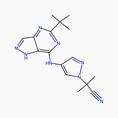 CC(C)(C)c1nc(Nc2cnn(C(C)(C)C#N)c2)c2[nH]ncc2n1